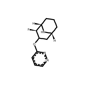 F[C@@H]1C(Oc2cccnn2)C[C@H]2CCC[C@@H]1N2